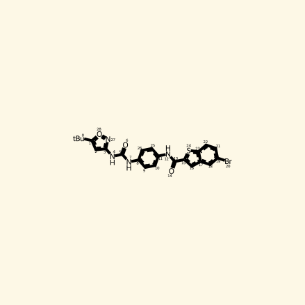 CC(C)(C)c1cc(NC(=O)Nc2ccc(NC(=O)c3cc4cc(Br)ccc4s3)cc2)no1